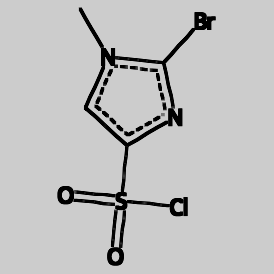 Cn1cc(S(=O)(=O)Cl)nc1Br